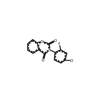 O=c1oc2ccccc2c(=O)n1-c1ccc(Cl)cc1F